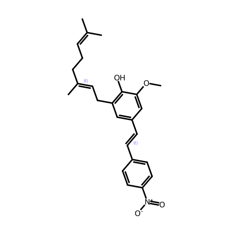 COc1cc(/C=C/c2ccc([N+](=O)[O-])cc2)cc(C/C=C(\C)CCC=C(C)C)c1O